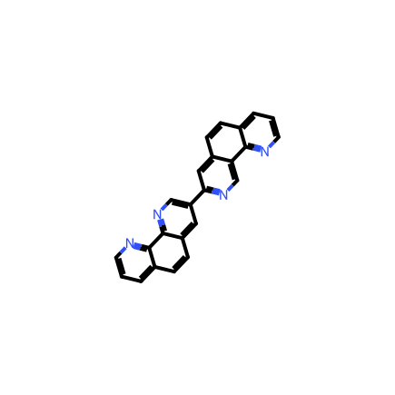 c1cnc2c(c1)ccc1cc(-c3cnc4c(ccc5cccnc54)c3)ncc12